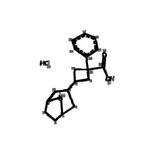 CN1C2CCC1CC(C1CC(C(=O)O)(c3ccccc3)C1)C2.Cl